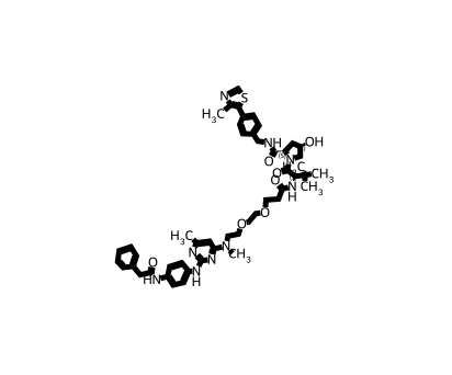 Cc1cc(N(C)CCOCCOCCC(=O)N[C@H](C(=O)N2C[C@H](O)C[C@H]2C(=O)NCc2ccc(-c3scnc3C)cc2)C(C)(C)C)nc(Nc2ccc(NC(=O)Cc3ccccc3)cc2)n1